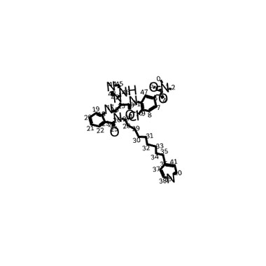 CN(C)S(=O)(=O)c1ccc(Cl)c(NC(=O)C(c2nc3ccccc3c(=O)n2CCCCCCCCCc2ccncc2)n2cncn2)c1